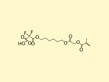 C=C(C)C(=O)OCC(=O)OCCCCCCOC(=O)C(F)(F)S(=O)(=O)O